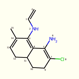 C=CNC1=C2C(N)=C(Cl)CCC2CC=C1C